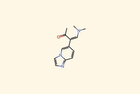 CC(=O)/C(=C\N(C)C)c1ccc2nccn2c1